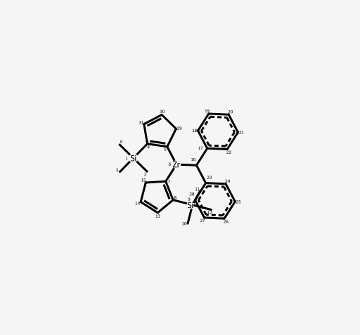 C[Si](C)(C)C1=[C]([Zr]([C]2=C([Si](C)(C)C)C=CC2)[CH](c2ccccc2)c2ccccc2)CC=C1